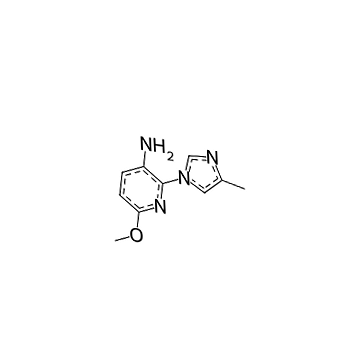 COc1ccc(N)c(-n2cnc(C)c2)n1